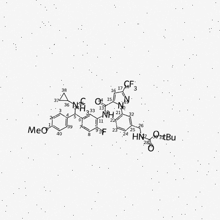 COc1ccc(C(c2ccc(F)c(NC(=O)c3cc(C(F)(F)F)nn3-c3cccc(CNC(=O)OC(C)(C)C)c3)c2)N(C)C2CC2)cc1